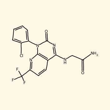 NC(=O)CNc1nc(=O)n(-c2ccccc2Cl)c2nc(C(F)(F)F)ccc12